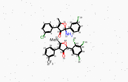 CC1=C(c2cccc(Cl)c2)C(=O)C(N)(c2cccc(F)c2)O1.CNC1=C(c2cccc(C(F)(F)F)c2)C(=O)C(c2cc(F)cc(F)c2F)O1